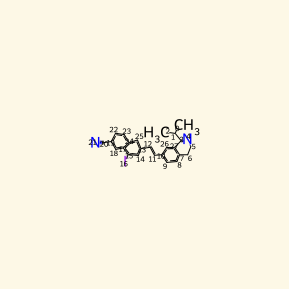 CC(C)C1=NCCc2ccc(C=Cc3cc(I)c4cc(C#N)ccc4c3)cc21